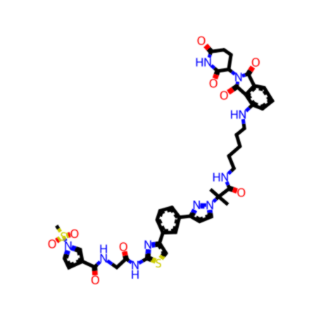 CC(C)(C(=O)NCCCCCNc1cccc2c1C(=O)N(C1CCC(=O)NC1=O)C2=O)n1ccc(-c2cccc(-c3csc(NC(=O)CNC(=O)c4ccn(S(C)(=O)=O)c4)n3)c2)n1